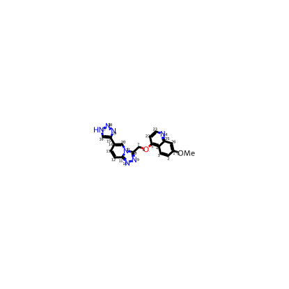 COc1ccc2c(OCc3nnc4ccc(-c5c[nH]nn5)cn34)ccnc2c1